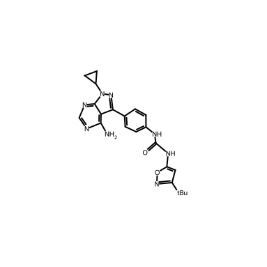 CC(C)(C)c1cc(NC(=O)Nc2ccc(-c3nn(C4CC4)c4ncnc(N)c34)cc2)on1